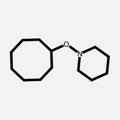 C1CCCC(ON2CCCCC2)CCC1